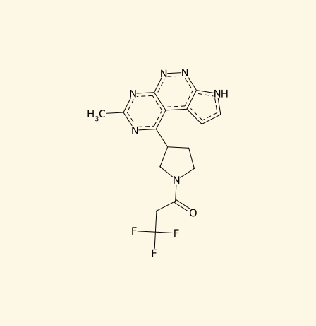 Cc1nc(C2CCN(C(=O)CC(F)(F)F)C2)c2c(nnc3[nH]ccc32)n1